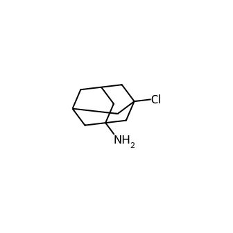 NC12CC3CC(C1)CC(Cl)(C3)C2